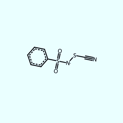 N#CS[N]S(=O)(=O)c1ccccc1